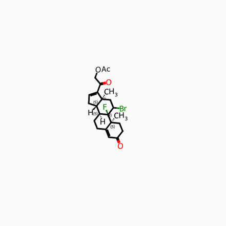 CC(=O)OCC(=O)C1=CC[C@H]2[C@@H]3CCC4=CC(=O)CC[C@]4(C)[C@@]3(F)C(Br)C[C@]12C